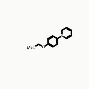 COCOc1ccc(N2C=CC=CC2)cc1